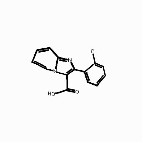 O=C(O)c1c(-c2ccccc2Cl)nc2ccccn12